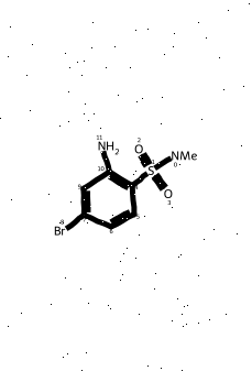 CNS(=O)(=O)c1ccc(Br)cc1N